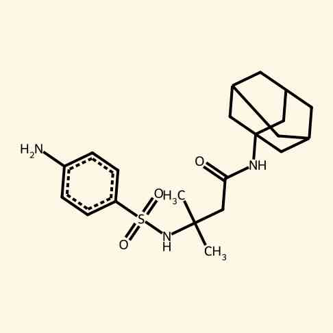 CC(C)(CC(=O)NC12CC3CC(CC(C3)C1)C2)NS(=O)(=O)c1ccc(N)cc1